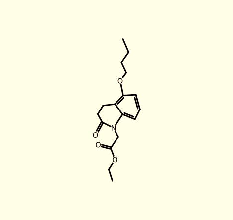 CCCCOc1cccc2c1CCC(=O)N2CC(=O)OCC